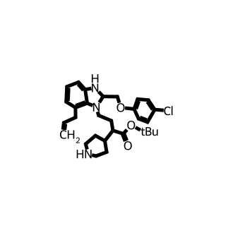 C=CCc1cccc2c1N(CCC(C(=O)OC(C)(C)C)C1CCNCC1)C(COc1ccc(Cl)cc1)N2